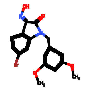 COc1cc(CN2C(=O)/C(=N\O)c3ccc(Br)cc32)cc(OC)c1